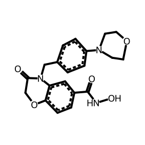 O=C(NO)c1ccc2c(c1)N(Cc1ccc(N3CCOCC3)cc1)C(=O)CO2